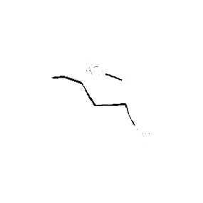 CCCCN.OCl